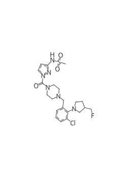 CS(=O)(=O)Nc1ccn(C(=O)N2CCN(Cc3cccc(Cl)c3N3CCC(CF)C3)CC2)n1